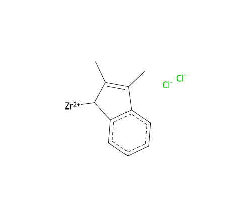 CC1=C(C)[CH]([Zr+2])c2ccccc21.[Cl-].[Cl-]